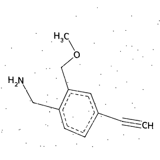 C#Cc1ccc(CN)c(COC)c1